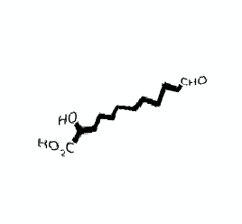 O=CC=CCCCCCCCC(O)C(=O)O